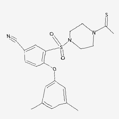 CC(=S)N1CCN(S(=O)(=O)c2cc(C#N)ccc2Oc2cc(C)cc(C)c2)CC1